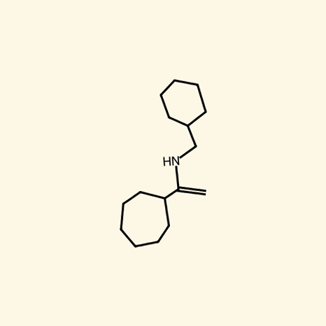 C=C(NCC1CCCCC1)C1CCCCCC1